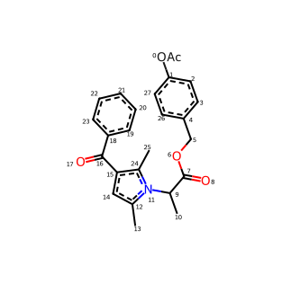 CC(=O)Oc1ccc(COC(=O)C(C)n2c(C)cc(C(=O)c3ccccc3)c2C)cc1